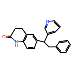 O=C1CCc2cc(C(Cc3ccccc3)c3cccnc3)ccc2N1